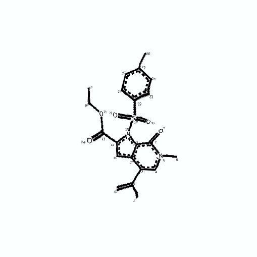 C=C(C)c1cn(C)c(=O)c2c1cc(C(=O)OCC)n2S(=O)(=O)c1ccc(C)cc1